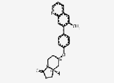 Cc1cc2cccnc2cc1-c1ccc(O[C@@H]2CCN3C(=O)CC[C@H]3C2)cc1